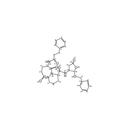 O=C(CCc1ccccc1)NC1CCC(=O)N2CCCC(C(=O)NC3CC(=O)OC3OCc3ccccc3)N2C1=O